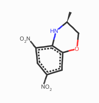 C[C@H]1COc2cc([N+](=O)[O-])cc([N+](=O)[O-])c2N1